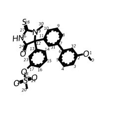 COc1cccc(-c2cccc(C3(c4cccc(OS(C)(=O)=O)c4)C(=O)NC(=S)N3C)c2)c1